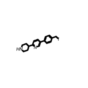 ICc1ccc(-c2ccc(C3CCNCC3)nc2)cc1